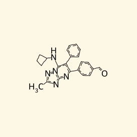 Cc1nc2nc(-c3ccc(C=O)cc3)c(-c3ccccc3)c(NC3CCC3)n2n1